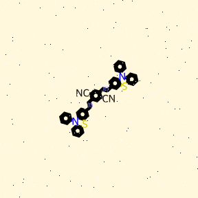 N#Cc1cc(/C=C/c2ccc3c(c2)Sc2ccccc2N3c2ccccc2)c(C#N)cc1/C=C/c1ccc2c(c1)Sc1ccccc1N2c1ccccc1